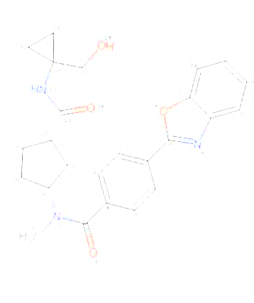 CN(C(=O)c1ccc(-c2nc3ccccc3o2)cc1)[C@@H]1CC[C@H](C(=O)NC2(CO)CC2)C1